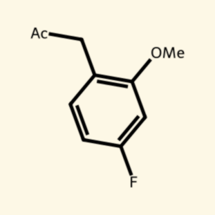 COc1cc(F)ccc1CC(C)=O